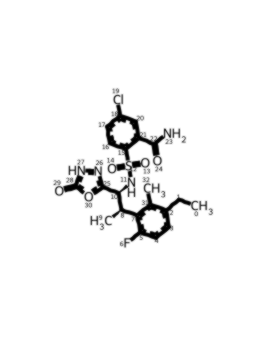 CCc1ccc(F)c([C@@H](C)[C@H](NS(=O)(=O)c2ccc(Cl)cc2C(N)=O)c2n[nH]c(=O)o2)c1C